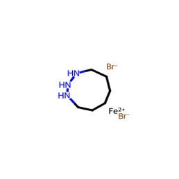 C1CCCNNNCC1.[Br-].[Br-].[Fe+2]